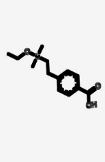 CCO[Si](C)(C)CCc1ccc(C(=O)O)cc1